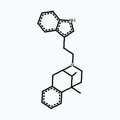 CC1C2Cc3ccccc3C1(C)CCN2CCc1c[nH]c2ccccc12